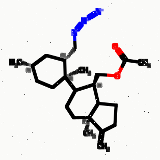 C=C1CCC2[C@H](COC(C)=O)C([C@@]3(C)CC[C@H](C)C[C@@H]3CN=[N+]=[N-])CC[C@]12C